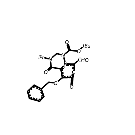 CC(C)N1CN(C(=O)OC(C)(C)C)n2c(C=O)cc(=O)c(OCc3ccccc3)c2C1=O